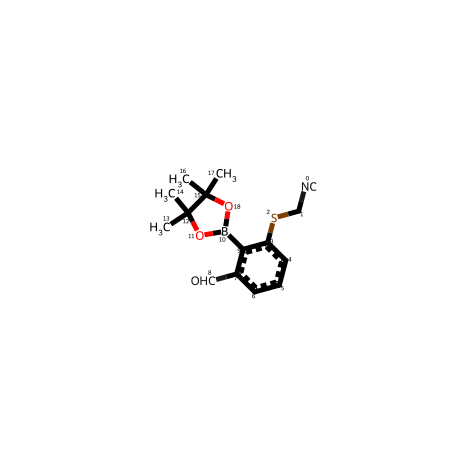 [C-]#[N+]CSc1cccc(C=O)c1B1OC(C)(C)C(C)(C)O1